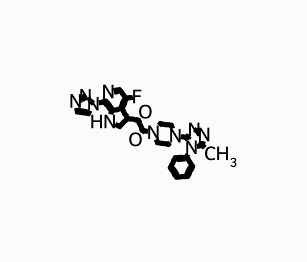 Cc1nnc(N2CCN(C(=O)C(=O)C3CNc4c(-n5ccnn5)ncc(F)c43)CC2)n1-c1ccccc1